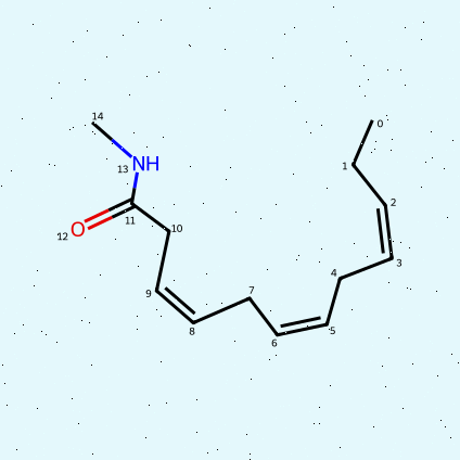 CC/C=C\C/C=C\C/C=C\CC(=O)NC